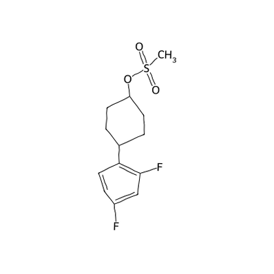 CS(=O)(=O)OC1CCC(c2ccc(F)cc2F)CC1